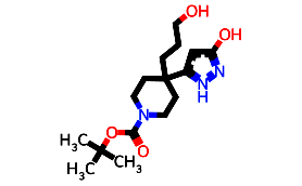 CC(C)(C)OC(=O)N1CCC(CCCO)(c2cc(O)n[nH]2)CC1